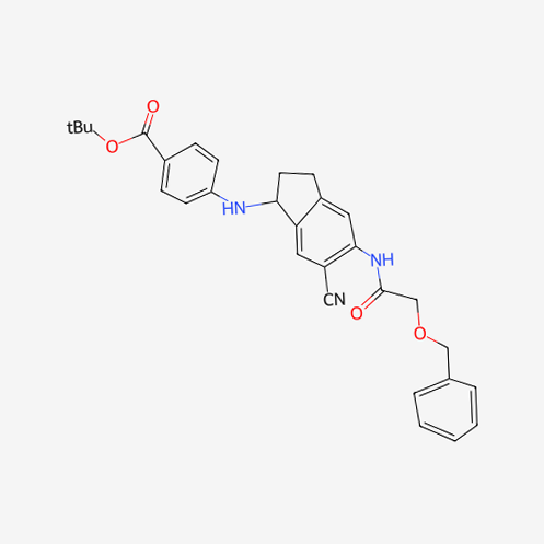 CC(C)(C)OC(=O)c1ccc(NC2CCc3cc(NC(=O)COCc4ccccc4)c(C#N)cc32)cc1